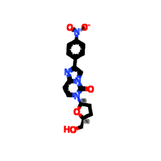 O=c1n([C@H]2CC[C@@H](CO)O2)ccc2nc(-c3ccc([N+](=O)[O-])cc3)cn12